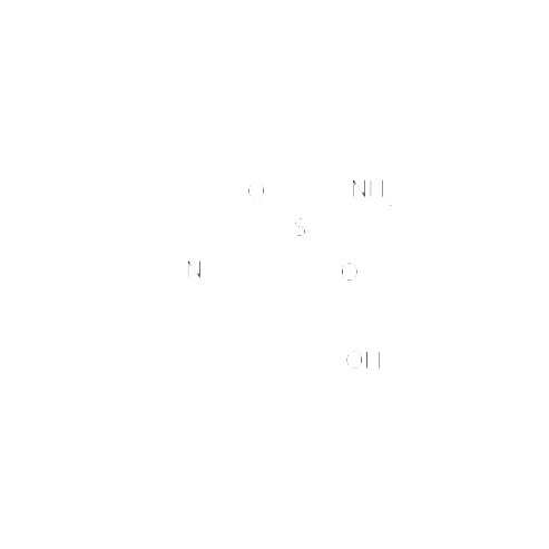 CN(C)C(CO)S(N)(=O)=O